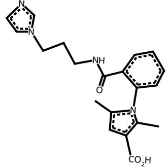 Cc1cc(C(=O)O)c(C)n1-c1ccccc1C(=O)NCCCn1ccnc1